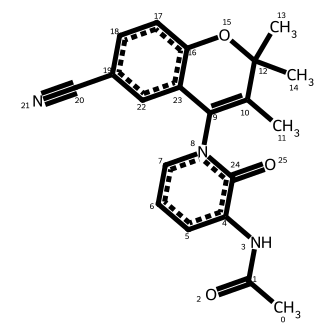 CC(=O)Nc1cccn(C2=C(C)C(C)(C)Oc3ccc(C#N)cc32)c1=O